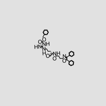 N=C(NCCC[C@@H](C=O)NC(=O)CCc1nc(-c2ccccc2)c(-c2ccccc2)o1)NC(=O)OCc1ccccc1